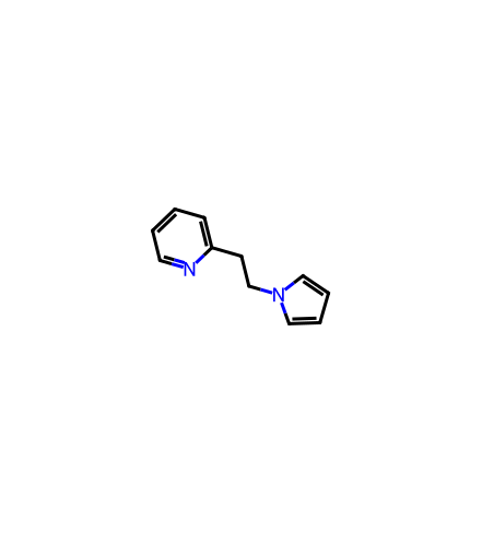 c1ccc(CCn2cccc2)nc1